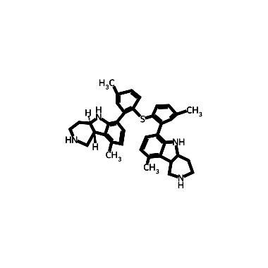 Cc1ccc(Sc2ccc(C)cc2-c2ccc(C)c3c2N[C@@H]2CCNC[C@@H]32)c(-c2ccc(C)c3c2NC2CCNCC32)c1